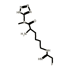 CN(C(=O)C(N)CCCCNC(=N)CF)c1nnn[nH]1